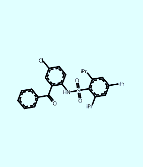 CC(C)c1cc(C(C)C)c(S(=O)(=O)Nc2ccc(Cl)cc2C(=O)c2ccccc2)c(C(C)C)c1